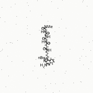 CCCCc1nc2c(N)nc3ccccc3c2n1CCCCNC(=O)CCC(=O)NCC(=O)NCC(=O)NCC(=O)NC